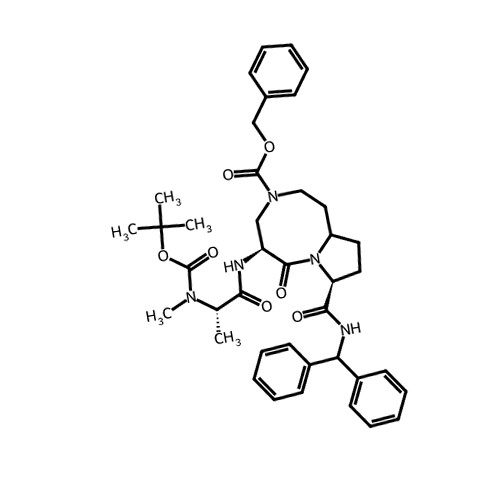 C[C@@H](C(=O)N[C@H]1CN(C(=O)OCc2ccccc2)CCC2CC[C@@H](C(=O)NC(c3ccccc3)c3ccccc3)N2C1=O)N(C)C(=O)OC(C)(C)C